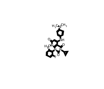 CN(C)c1ccc(Nc2cc(=O)n(C)c3c2c(=O)n(C2CC2)c(=O)n3-c2c(F)cccc2F)cc1